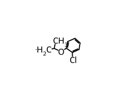 [CH2]C(C)Oc1ccccc1Cl